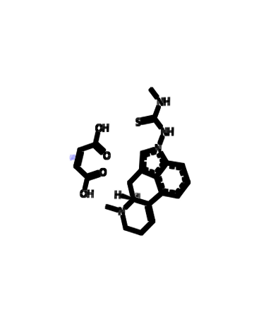 CNC(=S)Nn1cc2c3c(cccc31)C1=CCCN(C)[C@@H]1C2.O=C(O)/C=C\C(=O)O